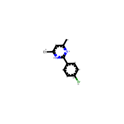 CCc1cc(C)nc(-c2ccc(Br)cc2)n1